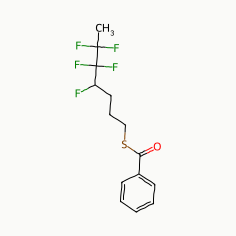 CC(F)(F)C(F)(F)C(F)CCCSC(=O)c1ccccc1